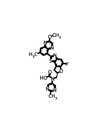 COc1cnc2c(-c3nc4cc(F)c5c(c4s3)C[C@H](CN(C(=O)O)c3cnc(C)nc3)O5)cc(C)cc2n1